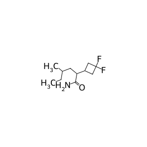 CCC(C)CC(C(N)=O)C1CC(F)(F)C1